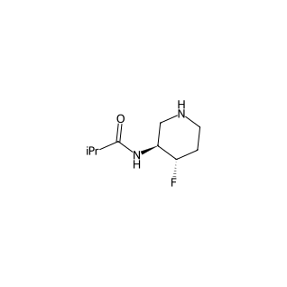 CC(C)C(=O)N[C@H]1CNCC[C@@H]1F